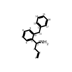 C=CCC(N)c1ccccc1Cc1ccccc1